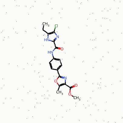 CCc1[nH]c(C(=O)Nc2ccc(-c3nc(C(=O)OC)c(C)o3)cc2)nc1Cl